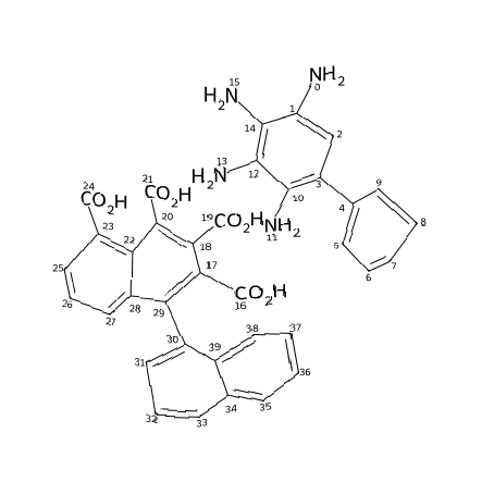 Nc1cc(-c2ccccc2)c(N)c(N)c1N.O=C(O)c1c(C(=O)O)c(C(=O)O)c2c(C(=O)O)cccc2c1-c1cccc2ccccc12